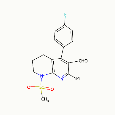 CC(C)c1nc2c(c(-c3ccc(F)cc3)c1C=O)CCCN2S(C)(=O)=O